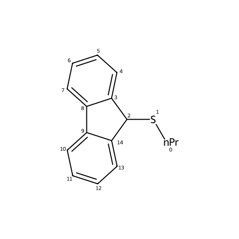 CCCSC1c2ccccc2-c2ccccc21